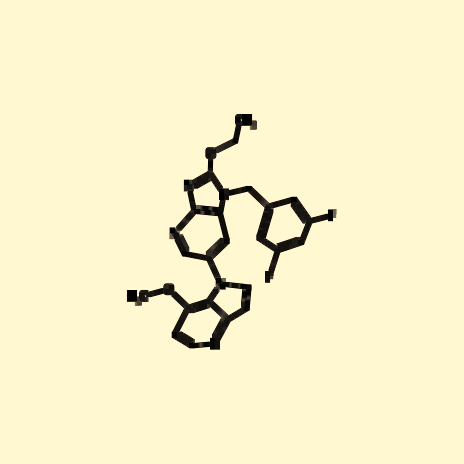 CCOc1nc2ncc(-n3ccc4nccc(OC)c43)cc2n1Cc1cc(F)cc(F)c1